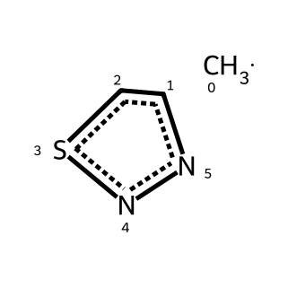 [CH3].c1csnn1